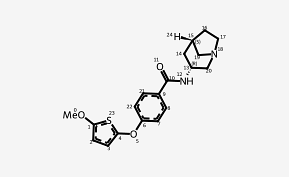 COc1ccc(Oc2ccc(C(=O)N[C@@H]3C[C@@H]4CCN(C4)C3)cc2)s1